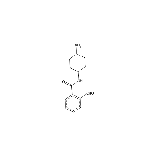 NC1CCC(NC(=O)c2ccccc2C=O)CC1